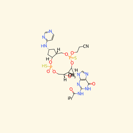 CC(C)C(=O)Nc1nc2c(ncn2[C@@H]2O[C@@H]3COP(=O)(S)O[C@H]4C[C@H](Nc5ccncn5)C[C@@H]4COP(=S)(OCCC#N)O[C@@H]2[C@@H]3C)c(=O)[nH]1